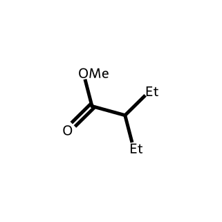 [CH2]CC(CC)C(=O)OC